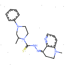 CC1CN(c2ccccc2)CCN1C(=S)N/N=C1/CCN(C)c2cccnc21